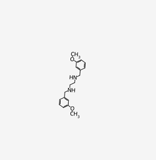 COc1cccc(CNCCNCc2cccc(OC)c2)c1